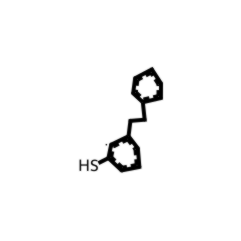 Sc1[c]c(CCc2ccccc2)ccc1